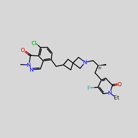 CCn1cc(F)c(C[C@H](C)CN2CC3(CC(Cc4ccc(Cl)c5c(=O)n(C)ncc45)C3)C2)cc1=O